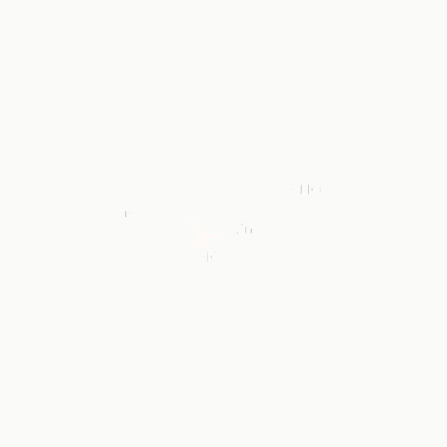 CC(C)C[O][Zn][CH2]C=O.Cl